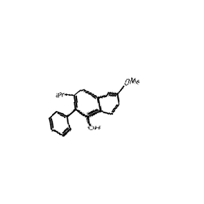 COc1ccc2c(O)c(-c3ccccc3)c(C(C)C)cc2c1